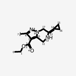 CCOC(=O)c1c(I)nn2c1CNC(=C1CC1)C2